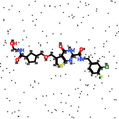 O=C(NCc1ccc(F)c(Cl)c1)c1nc2scc(COCC3CCC(C(=O)NCO)C3)c2c(=O)[nH]1